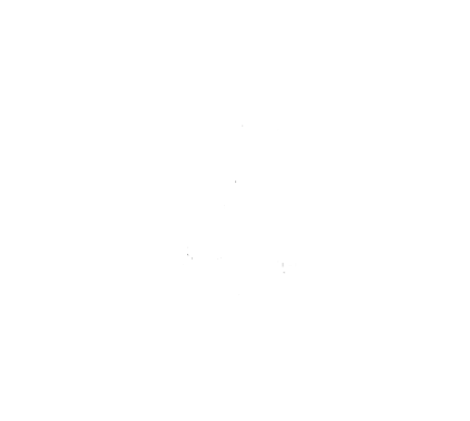 CCCCc1oc2ccccc2c(=O)c1C(N)=O